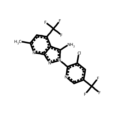 Cc1cc(C(F)(F)F)c2c(N)n(-c3ncc(C(F)(F)F)cc3Cl)nc2n1